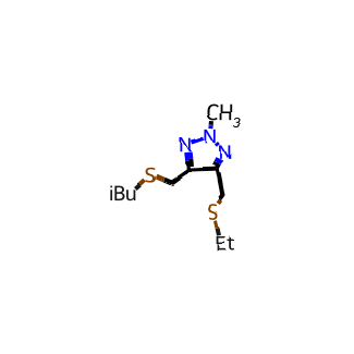 CCSCc1nn(C)nc1CSC(C)CC